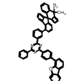 CC1(C)c2ccccc2C2(c3ccccc3-c3c(-c4cccc(-c5nc(-c6ccccc6)nc(-c6ccc(-c7cccc8c7oc7ccccc78)cc6)n5)c4)cccc32)c2ccccc21